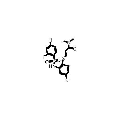 CN(C)C(=O)CCSc1ccc(Cl)cc1NS(=O)(=O)c1ccc(Cl)cc1F